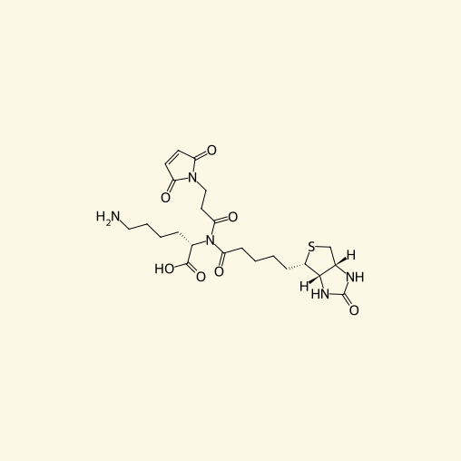 NCCCC[C@@H](C(=O)O)N(C(=O)CCCC[C@@H]1SC[C@@H]2NC(=O)N[C@@H]21)C(=O)CCN1C(=O)C=CC1=O